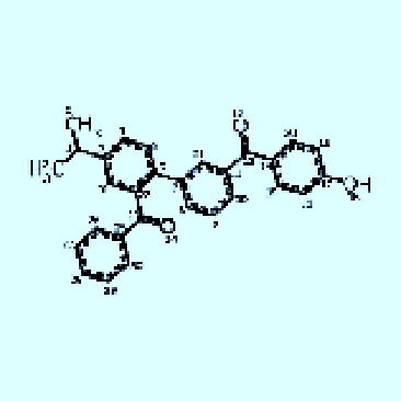 CC(C)c1ccc(-c2cccc(C(=O)c3ccc(O)cc3)c2)c(C(=O)c2ccccc2)c1